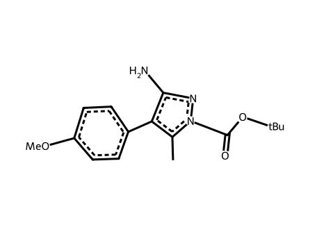 COc1ccc(-c2c(N)nn(C(=O)OC(C)(C)C)c2C)cc1